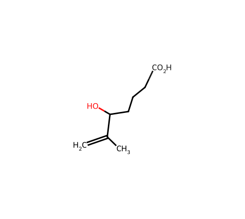 C=C(C)C(O)CCCC(=O)O